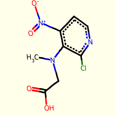 CN(CC(=O)O)c1c([N+](=O)[O-])ccnc1Cl